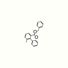 Cc1cccc(C(=O)OCc2ccccc2)c1-c1ccccc1